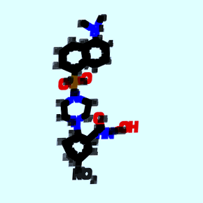 CN(C)c1cccc2c(S(=O)(=O)N3CCN(c4ccc([N+](=O)[O-])cc4C(=O)NO)CC3)cccc12